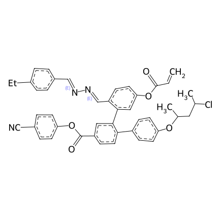 C=CC(=O)Oc1ccc(/C=N/N=C/c2ccc(CC)cc2)c(-c2cc(C(=O)Oc3ccc(C#N)cc3)ccc2-c2ccc(OC(C)CC(C)Cl)cc2)c1